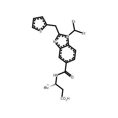 CCC(CC)n1c(Cc2cccs2)nc2cc(C(=O)NC(CC(=O)O)[C@@H](C)CC)ccc21